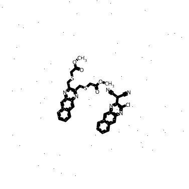 COC(=O)CSCc1nc2cc3ccccc3cc2nc1CSCC(=O)OC.N#CC(C#N)c1nc2cc3ccccc3cc2nc1Cl